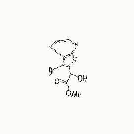 COC(=O)C(O)c1sc2ncccc2c1Br